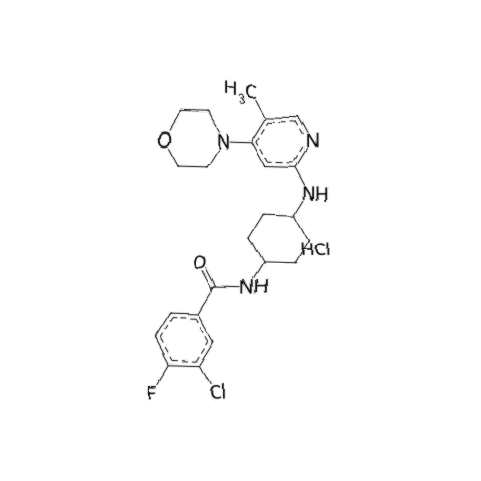 Cc1cnc(NC2CCC(NC(=O)c3ccc(F)c(Cl)c3)CC2)cc1N1CCOCC1.Cl